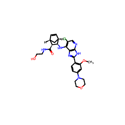 COc1cc(N2CCOCC2)ccc1-c1nc2c(N[C@H]3[C@@H](C(=O)NCCO)[C@@H]4C=C[C@H]3C4)c(Cl)cnc2[nH]1